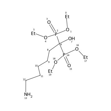 CCOP(=O)(OCC)C(O)(CCCCCN)P(=O)(OCC)OCC